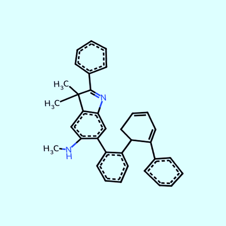 CNc1cc2c(cc1-c1ccccc1C1CC=CC=C1c1ccccc1)N=C(c1ccccc1)C2(C)C